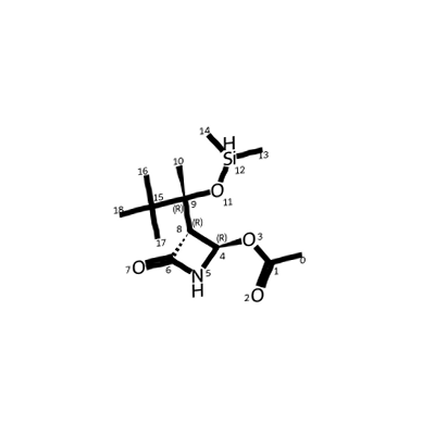 CC(=O)O[C@H]1NC(=O)[C@@H]1[C@@](C)(O[SiH](C)C)C(C)(C)C